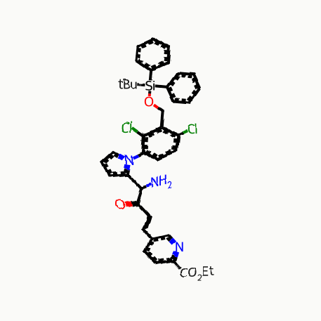 CCOC(=O)c1ccc(/C=C/C(=O)C(N)c2cccn2-c2ccc(Cl)c(CO[Si](c3ccccc3)(c3ccccc3)C(C)(C)C)c2Cl)cn1